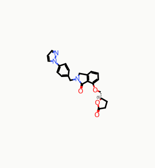 O=C1CC[C@@H](COc2cccc3c2C(=O)N(Cc2ccc(-n4cccn4)cc2)C3)O1